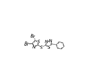 Brc1nc(Sc2nnc(-c3ccccc3)s2)sc1Br